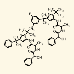 CC(NC(=O)C(O)c1ccccc1)C(=O)Nc1cc(C(C)(C)c2cc(F)cc(F)c2)nn1C(C)(C)C.CC(NC(=O)C(O)c1ccccc1)C(=O)Nc1cc(C(C)(C)c2ccccc2)nn1C(C)(C)C